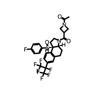 CC(=O)N1CC(C(=O)N2CC[C@@]3(S(=O)(=O)c4ccc(F)cc4)c4ccc(C(F)(C(F)(F)F)C(F)(F)F)cc4CC[C@@H]23)C1